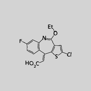 CCOC1=Nc2cc(F)ccc2C(=CC(=O)O)c2sc(Cl)cc21